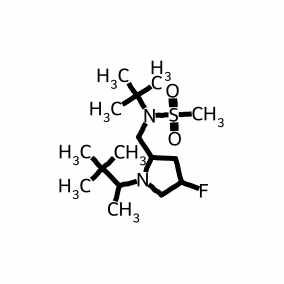 CC(N1CC(F)CC1CN(C(C)(C)C)S(C)(=O)=O)C(C)(C)C